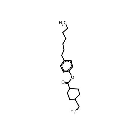 CCCCCCCc1ccc(OC(=O)C2CCC(CC)CC2)cc1